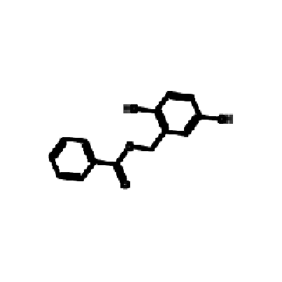 O=C(OCc1cc(O)ccc1O)c1ccccc1